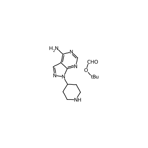 CC(C)(C)OC=O.Nc1ncnc2c1cnn2C1CCNCC1